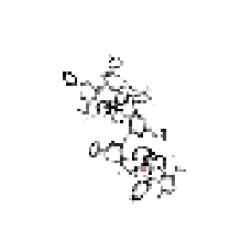 COc1cc(-c2cc(OC)cc(C(C)(C)C)c2Op2oc3c(C(C)(C)C)cc(OC)cc3c3cc(OC)cc(C(C)(C)C)c3o2)c(OP2OC(=O)c3c(C)ccc(C(C)C)c3O2)c(C(C)(C)C)c1